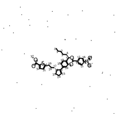 CCCCC[C@@H](OC(=O)c1ccc([N+](=O)[O-])cc1)c1ccc(C2=CCC[C@@H]2CCCc2ccc(C(=O)OC)s2)cc1